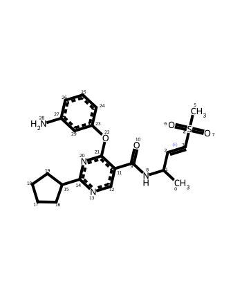 CC(/C=C/S(C)(=O)=O)NC(=O)c1cnc(C2CCCC2)nc1Oc1cccc(N)c1